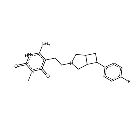 Cn1c(=O)[nH]c(N)c(CCN2CC3CC(c4ccc(F)cc4)C3C2)c1=O